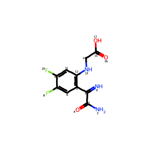 N=C(C(N)=O)c1cc(F)c(F)cc1NCC(=O)O